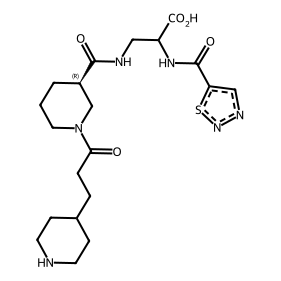 O=C(NC(CNC(=O)[C@@H]1CCCN(C(=O)CCC2CCNCC2)C1)C(=O)O)c1cnns1